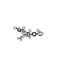 O=C(N[C@H](CNC(=O)c1ccc(Cl)s1)C(=O)N(c1ccc(N2CCOCC2=O)cc1)C(F)F)OCC(F)F